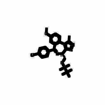 COc1ccc2c(c1)C(c1ccc(Cl)cc1)=N[C@@H](CO[Si](C)(C)C(C)(C)C)c1nnc(C)n1-2